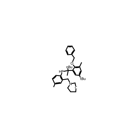 CCCCC(C)(Pc1ccc(C)cc1CN1CCCCC1)c1cc(C(C)(C)C)cc(C)c1OCc1ccccc1